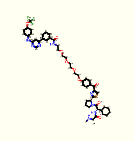 CN[C@@H](C)C(=O)N[C@H](C(=O)N1CCC[C@H]1c1nc(C(=O)c2ccc(OCCOCCOCCOCCNC(=O)c3cccc(-c4cc(Nc5ccc(OC(F)(F)F)cc5)ncn4)c3)cc2)cs1)C1CCCCC1